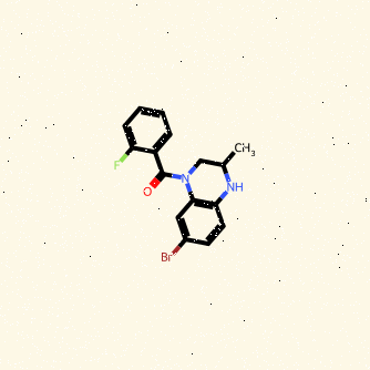 CC1CN(C(=O)c2ccccc2F)c2cc(Br)ccc2N1